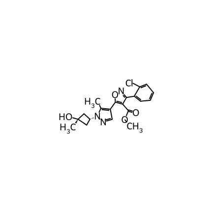 COC(=O)c1c(-c2ccccc2Cl)noc1-c1cnn([C@H]2C[C@@](C)(O)C2)c1C